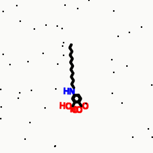 CCCCCCCCCCCCCNc1ccc(C(=O)O)c(C(=O)O)c1